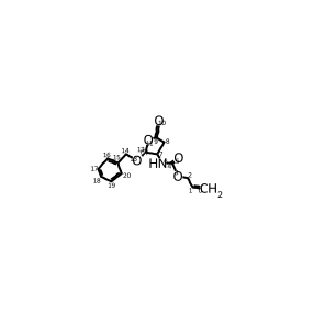 C=CCOC(=O)NC1CC(=O)O[C@@H]1OCc1ccccc1